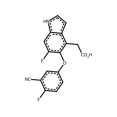 N#Cc1cc(Oc2c(F)cc3[nH]ccc3c2CC(=O)O)ccc1F